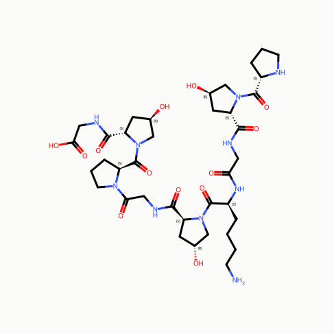 NCCCC[C@H](NC(=O)CNC(=O)[C@@H]1C[C@@H](O)CN1C(=O)[C@@H]1CCCN1)C(=O)N1C[C@H](O)C[C@H]1C(=O)NCC(=O)N1CCC[C@H]1C(=O)N1C[C@H](O)C[C@H]1C(=O)NCC(=O)O